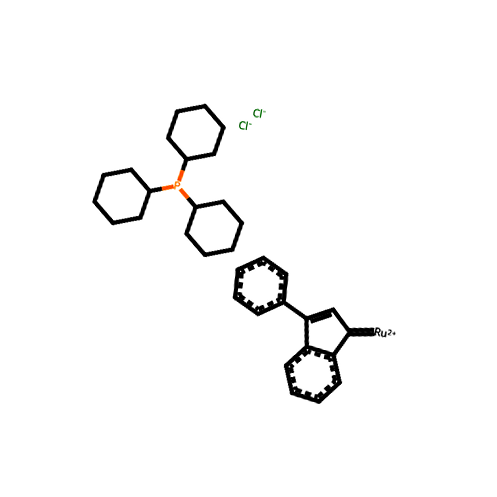 C1CCC(P(C2CCCCC2)C2CCCCC2)CC1.[Cl-].[Cl-].[Ru+2]=[C]1C=C(c2ccccc2)c2ccccc21